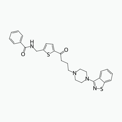 O=C(NCc1ccc(C(=O)CCCN2CCN(c3nsc4ccccc34)CC2)s1)c1ccccc1